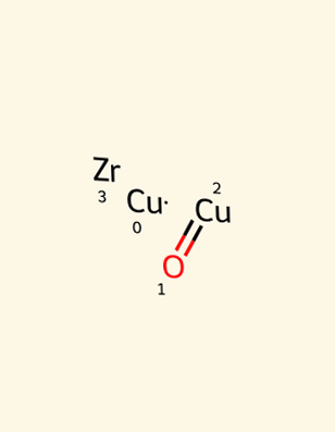 [Cu].[O]=[Cu].[Zr]